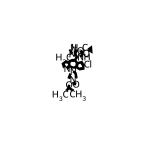 CCC(CC)OC(=O)N1CCN(C2c3ccc(Cl)cc3C(C(NC(=O)OC3(C)CC3)c3cncn3C)=Cc3cccnc32)CC1